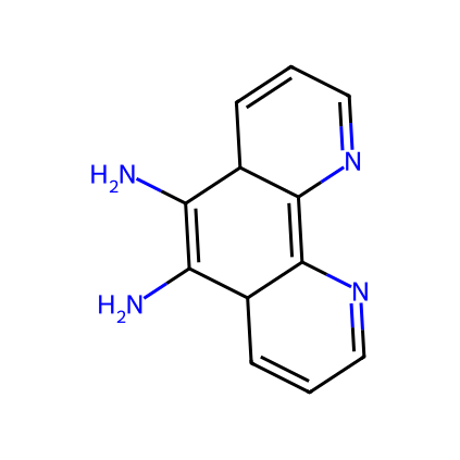 NC1=C(N)C2C=CC=NC2=C2N=CC=CC12